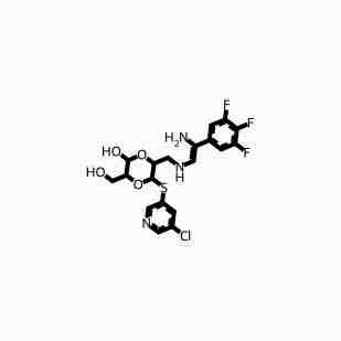 N/C(=C\NCC1OC(O)C(CO)OC1Sc1cncc(Cl)c1)c1cc(F)c(F)c(F)c1